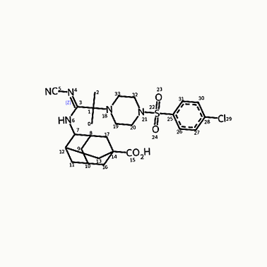 CC(C)(/C(=N/C#N)NC1C2CC3CC1CC(C(=O)O)(C3)C2)N1CCN(S(=O)(=O)c2ccc(Cl)cc2)CC1